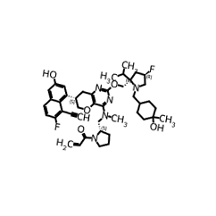 C#Cc1c(F)ccc2cc(O)cc([C@H]3COc4c(nc(OC[C@]5(C(C)C)C[C@@H](F)CN5CC5CCC(C)(O)CC5)nc4N(C)C[C@@H]4CCCN4C(=O)C=C)C3)c12